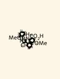 COc1ccc(Nc2c(-c3ccccc3)c(C)nn2-c2ccccc2OC)c(C(=O)O)c1